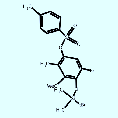 COc1c(C)c(OS(=O)(=O)c2ccc(C)cc2)cc(Br)c1O[Si](C)(C)C(C)(C)C